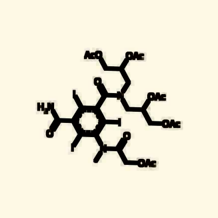 CC(=O)OCC(=O)N(C)c1c(I)c(C(N)=O)c(I)c(C(=O)N(CC(COC(C)=O)OC(C)=O)CC(COC(C)=O)OC(C)=O)c1I